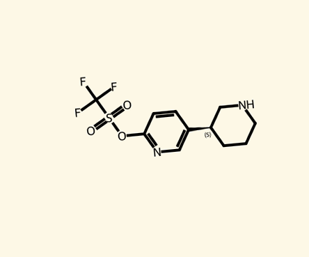 O=S(=O)(Oc1ccc([C@@H]2CCCNC2)cn1)C(F)(F)F